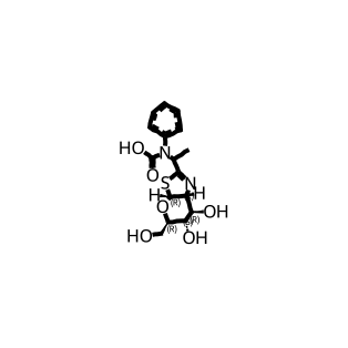 CC(C1=N[C@@H]2[C@@H](O)[C@H](O)[C@@H](CO)O[C@@H]2S1)N(C(=O)O)c1ccccc1